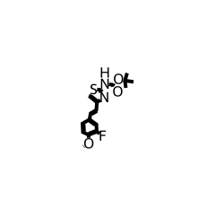 COc1ccc(C=Cc2csc(NC(=O)OC(C)(C)C)n2)cc1F